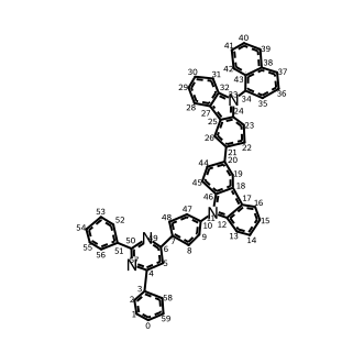 c1ccc(-c2cc(-c3ccc(-n4c5ccccc5c5cc(-c6ccc7c(c6)c6ccccc6n7-c6cccc7ccccc67)ccc54)cc3)nc(-c3ccccc3)n2)cc1